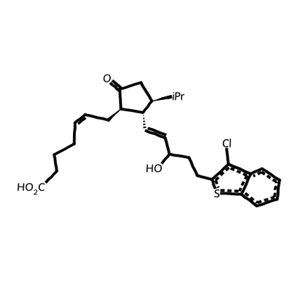 CC(C)[C@@H]1CC(=O)[C@H](C/C=C\CCCC(=O)O)[C@H]1/C=C/C(O)CCc1sc2ccccc2c1Cl